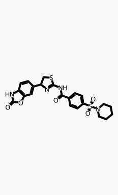 O=C(NC1=NC(c2ccc3[nH]c(=O)oc3c2)CS1)c1ccc(S(=O)(=O)N2CCCCC2)cc1